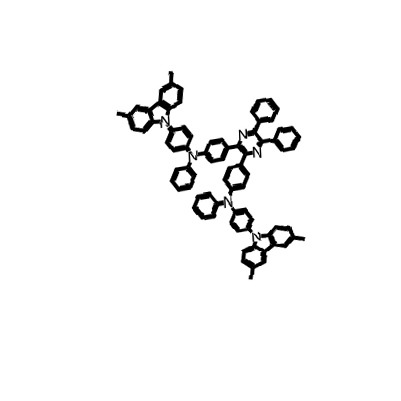 Cc1ccc2c(c1)c1cc(C)ccc1n2-c1ccc(N(c2ccccc2)c2ccc(-c3nc(-c4ccccc4)c(-c4ccccc4)nc3-c3ccc(N(c4ccccc4)c4ccc(-n5c6ccc(C)cc6c6cc(C)ccc65)cc4)cc3)cc2)cc1